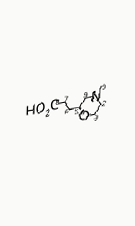 CN1CCO[C@@H](CCC(=O)O)C1